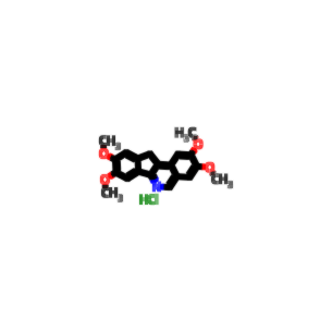 COc1cc2c(cc1OC)-c1ncc3cc(OC)c(OC)cc3c1C2.Cl